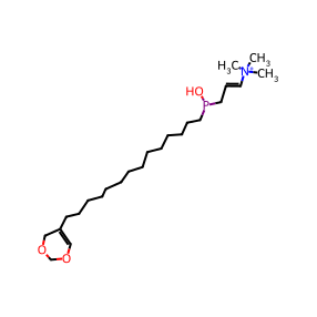 C[N+](C)(C)C=CCP(O)CCCCCCCCCCCCCCC1=COCOC1